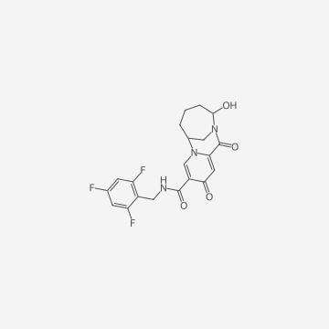 O=C(NCc1c(F)cc(F)cc1F)c1cn2c(cc1=O)C(=O)N1CC2CCCC1O